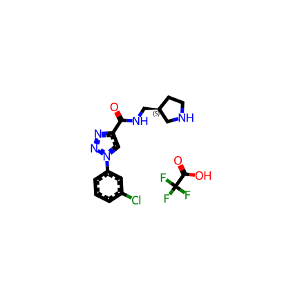 O=C(NC[C@H]1CCNC1)c1cn(-c2cccc(Cl)c2)nn1.O=C(O)C(F)(F)F